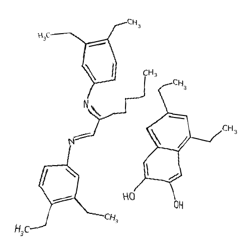 CCCCC(C=Nc1ccc(CC)c(CC)c1)=Nc1ccc(CC)c(CC)c1.CCc1cc(CC)c2cc(O)c(O)cc2c1